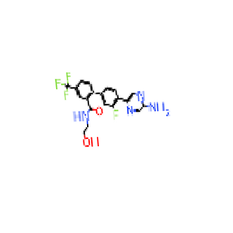 Nc1cnc(-c2ccc(-c3ccc(C(F)(F)F)cc3C(=O)NCCO)cc2F)cn1